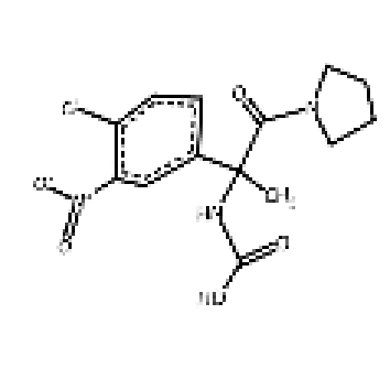 CC(NC(=O)O)(C(=O)N1CCCC1)c1ccc(Cl)c([N+](=O)[O-])c1